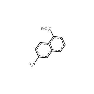 CCOC(=O)c1cccc2cc([N+](=O)[O-])ccc12